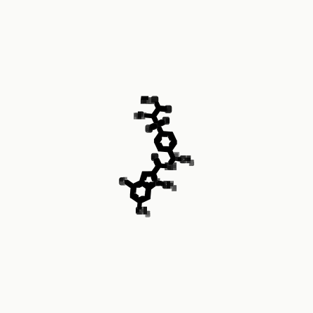 CCCC(C(=O)OC)S(=O)(=O)c1ccc([C@@H](C)NC(=O)c2cc3c(Cl)cc(C)cc3n2C)cc1